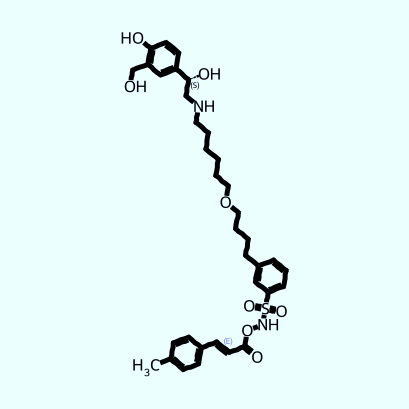 Cc1ccc(/C=C/C(=O)ONS(=O)(=O)c2cccc(CCCCOCCCCCCNC[C@@H](O)c3ccc(O)c(CO)c3)c2)cc1